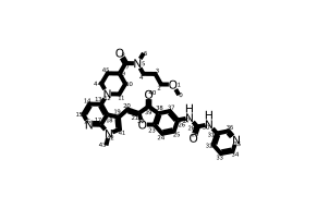 COCCCN(C)C(=O)C1CCN(c2ccnc3c2c(C=C2Oc4ccc(NC(=O)Nc5cccnc5)cc4C2=O)cn3C)CC1